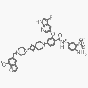 COc1cc(CN2CCN(C3CC4(CCN(c5ccc(C(=O)NSc6ccc(N)c([N+](=O)[O-])c6)c(Oc6cnc7[nH]cc(F)c7c6)c5)CC4)C3)CC2)cc2ccoc12